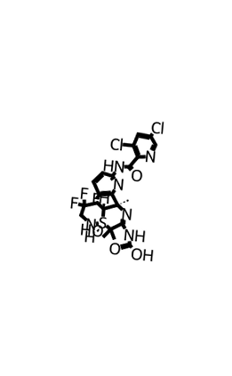 CC1(C)C(NC(=O)O)=N[C@](C)(c2nc(NC(=O)c3ncc(Cl)cc3Cl)ccc2F)[C@H]2CC(F)(F)CN[S@@]21O